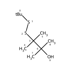 CC(C)(C)SSC(C)(C)C(C)(C)O